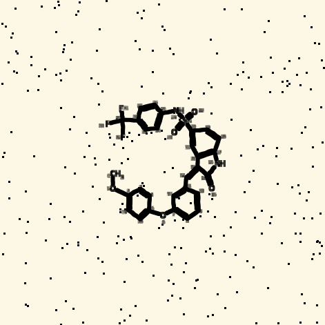 COc1ccc(Oc2cccc(C=C3C(=O)Nc4ccc(S(=O)(=O)Nc5ccc(C(F)(F)F)cc5)cc43)c2)cc1